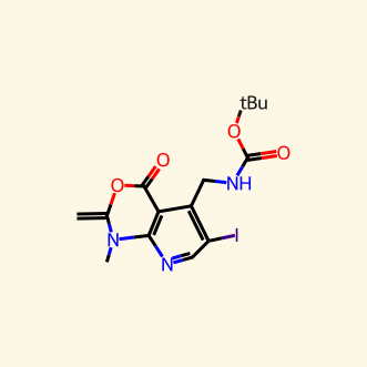 C=C1OC(=O)c2c(ncc(I)c2CNC(=O)OC(C)(C)C)N1C